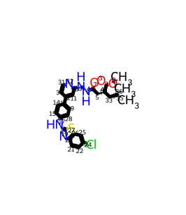 COC(=O)[C@H](CC(=O)NNc1cc(-c2ccc(Nc3nc4ccc(Cl)cc4s3)cc2)ccn1)CC(C)C